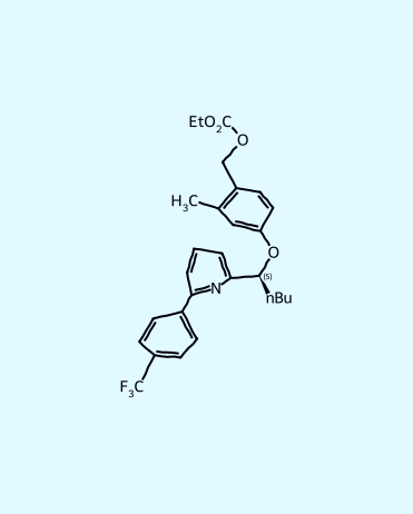 CCCC[C@H](Oc1ccc(COC(=O)OCC)c(C)c1)c1cccc(-c2ccc(C(F)(F)F)cc2)n1